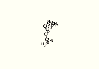 COc1ncc(-c2cccc(N(C[C@H]3CC[C@H](c4ccc(OC)c(C#N)c4)CC3)C(=O)[C@H]3CC[C@H](O)CC3)c2)s1